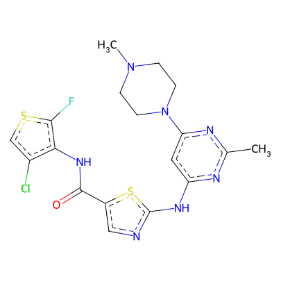 Cc1nc(Nc2ncc(C(=O)Nc3c(Cl)csc3F)s2)cc(N2CCN(C)CC2)n1